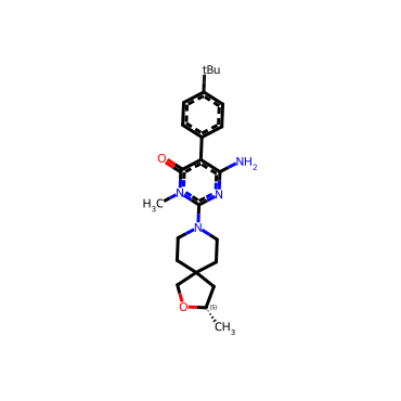 C[C@H]1CC2(CCN(c3nc(N)c(-c4ccc(C(C)(C)C)cc4)c(=O)n3C)CC2)CO1